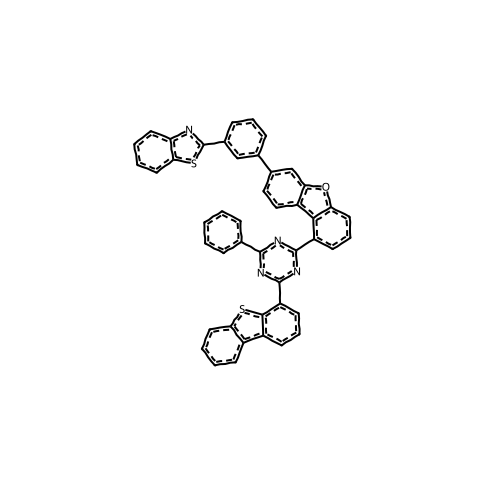 c1ccc(-c2nc(-c3cccc4c3sc3ccccc34)nc(-c3cccc4oc5cc(-c6cccc(-c7nc8ccccc8s7)c6)ccc5c34)n2)cc1